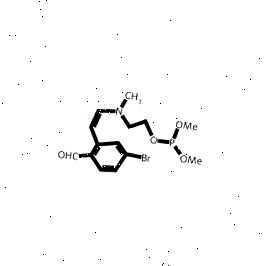 COP(OC)OCCN(C)/C=C\c1cc(Br)ccc1C=O